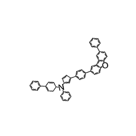 C1=C(c2ccc(-c3ccc4oc5ccc(-c6ccccc6)cc5c4c3)cc2)C=CC=1N(c1ccccc1)C1C=CC(c2ccccc2)=CC1